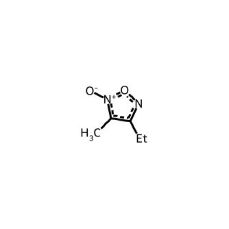 CCc1no[n+]([O-])c1C